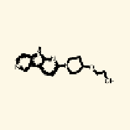 Cn1c2ccncc2c2ccc(N3CCC(OCCO)CC3)nc21